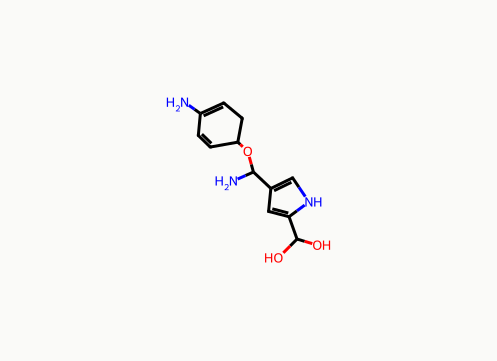 NC1=CCC(OC(N)c2c[nH]c(C(O)O)c2)C=C1